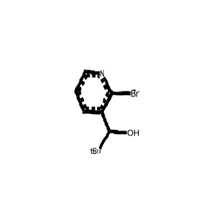 CC(C)(C)C(O)c1cccnc1Br